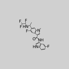 CC(NC(F)C(F)F)c1cc2c(cc1F)c(C(=O)Nc1c[nH]c3ccc(F)cc13)cn2C